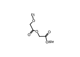 CCOCC(=O)OCC(=O)OC